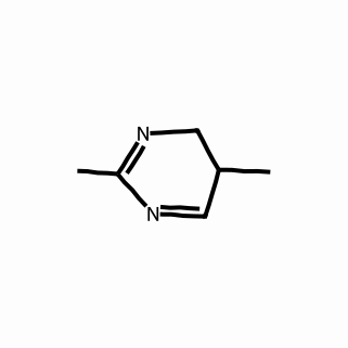 CC1=NCC(C)C=N1